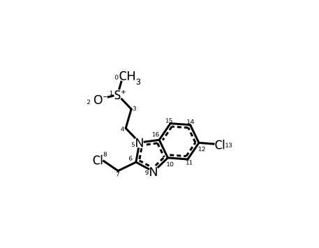 C[S+]([O-])CCn1c(CCl)nc2cc(Cl)ccc21